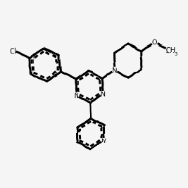 COC1CCN(c2cc(-c3ccc(Cl)cc3)nc(-c3cccnc3)n2)CC1